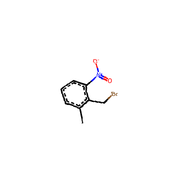 Cc1cccc([N+](=O)[O-])c1CBr